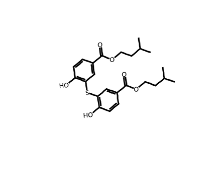 CC(C)CCOC(=O)c1ccc(O)c(Sc2cc(C(=O)OCCC(C)C)ccc2O)c1